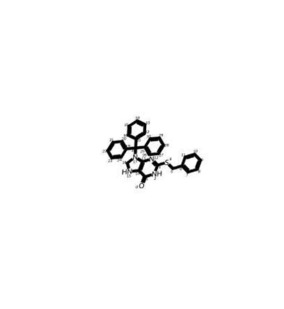 O=c1[nH]c(SCc2ccccc2)nc2c1NCN2C(c1ccccc1)(c1ccccc1)c1ccccc1